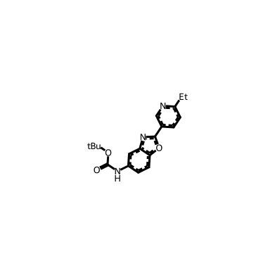 CCc1ccc(-c2nc3cc(NC(=O)OC(C)(C)C)ccc3o2)cn1